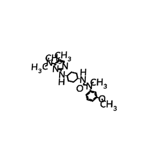 COc1cccc(N(C)C(=O)N[C@H]2CC[C@@H](Nc3ncc(C)c(N(C)C)n3)CC2)c1